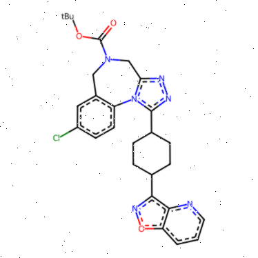 CC(C)(C)OC(=O)N1Cc2cc(Cl)ccc2-n2c(nnc2C2CCC(c3noc4cccnc34)CC2)C1